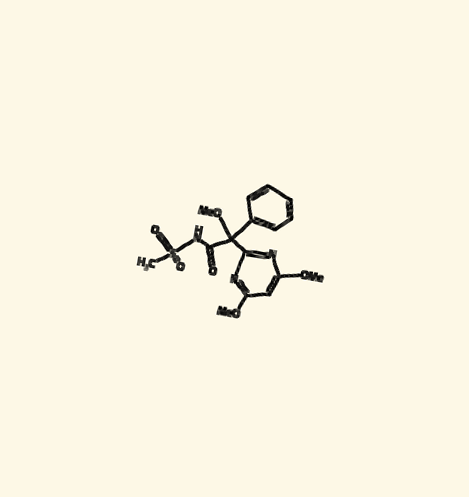 COc1cc(OC)nc(C(OC)(C(=O)NS(C)(=O)=O)c2ccccc2)n1